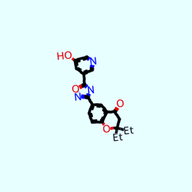 CCC1(CC)CC(=O)c2cc(-c3noc(-c4cncc(O)c4)n3)ccc2O1